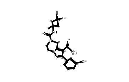 CC1(NC(=O)N2CCn3nc(-c4cccc(Cl)c4)c(C(N)=O)c3C2)CC(F)(F)C1